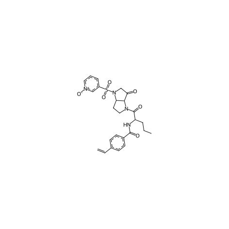 C=Cc1ccc(C(=O)NC(CCC)C(=O)N2CCC3C2C(=O)CN3S(=O)(=O)c2ccc[n+]([O-])c2)cc1